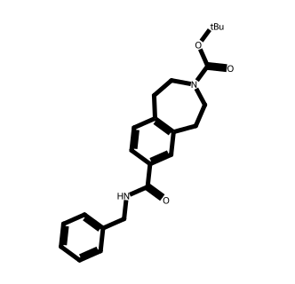 CC(C)(C)OC(=O)N1CCc2ccc(C(=O)NCc3ccccc3)cc2CC1